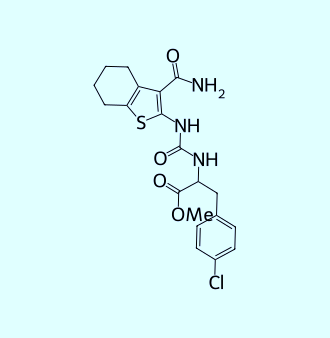 COC(=O)C(Cc1ccc(Cl)cc1)NC(=O)Nc1sc2c(c1C(N)=O)CCCC2